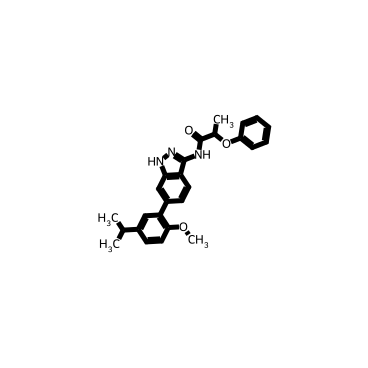 COc1ccc(C(C)C)cc1-c1ccc2c(NC(=O)C(C)Oc3ccccc3)n[nH]c2c1